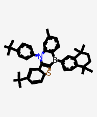 Cc1ccc2c(c1)N(c1ccc(C(C)(C)C)cc1)C1=C(SC3C=CC(C(C)(C)C)=CC13)B2c1ccc2c(c1)C(C)(C)CCC2(C)C